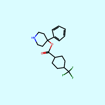 O=C(OC1(c2ccccc2)CCNCC1)C1CCC(C(F)(F)F)CC1